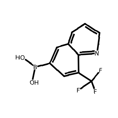 OB(O)c1cc(C(F)(F)F)c2ncccc2c1